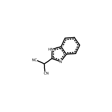 N#CC(C#N)c1nc2ccccc2[nH]1